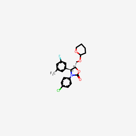 O=C1O[C@@H](COC2CCCCO2)[C@H](c2cc(F)cc(C(F)(F)F)c2)N1c1ccc(Cl)cc1